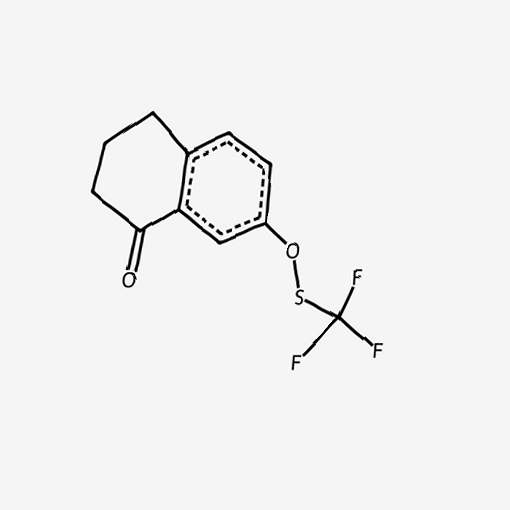 O=C1CCCc2ccc(OSC(F)(F)F)cc21